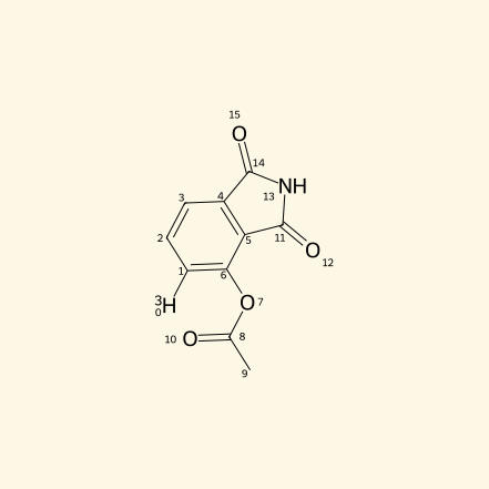 [3H]c1ccc2c(c1OC(C)=O)C(=O)NC2=O